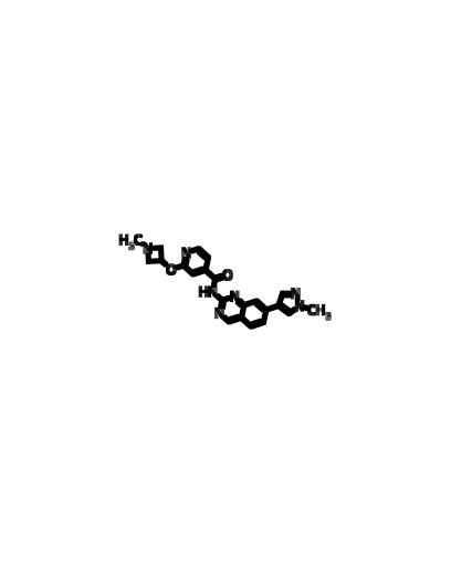 CN1CC(Oc2cc(C(=O)Nc3ncc4ccc(-c5cnn(C)c5)cc4n3)ccn2)C1